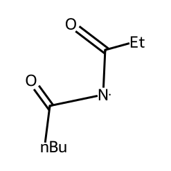 CCCCC(=O)[N]C(=O)CC